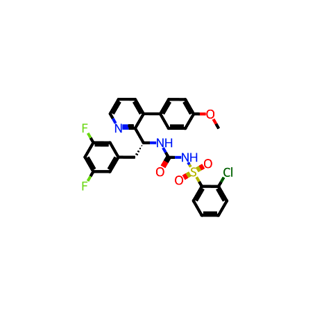 COc1ccc(-c2cccnc2[C@@H](Cc2cc(F)cc(F)c2)NC(=O)NS(=O)(=O)c2ccccc2Cl)cc1